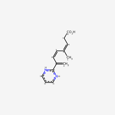 C=C(/C=C\C(C)=C/CC(=O)O)c1ncccn1